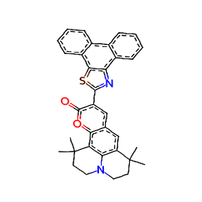 CC1(C)CCN2CCC(C)(C)c3c2c1cc1cc(-c2nc4c5ccccc5c5ccccc5c4s2)c(=O)oc31